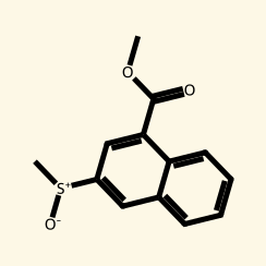 COC(=O)c1cc([S+](C)[O-])cc2ccccc12